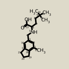 Cc1cc(CNC(CCC(C)(C)C)C(=O)O)cc2c1CCC2